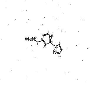 CNCc1ccnc(-n2c[c]cn2)c1